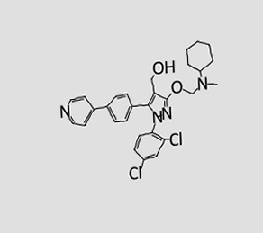 CN(COc1nn(-c2ccc(Cl)cc2Cl)c(-c2ccc(-c3ccncc3)cc2)c1CO)C1CCCCC1